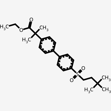 CCOC(=O)C(C)(C)c1ccc(-c2ccc(S(=O)(=O)CCC(C)(C)C)cc2)cc1